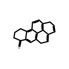 O=C1CCCc2c1cc1c3c4c(ccc23)CC=CC4=CC1